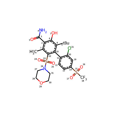 Cc1c(C(N)=O)c(O)c(C(C)(C)C)c(-c2ccc(S(=O)(=O)C(F)(F)F)cc2Cl)c1S(=O)(=O)N1CCOCC1